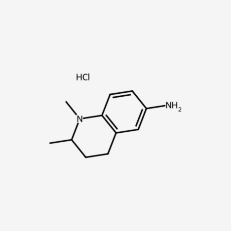 CC1CCc2cc(N)ccc2N1C.Cl